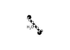 O.O=c1ccccn1CCOCCOCCOCCOc1ccccn1